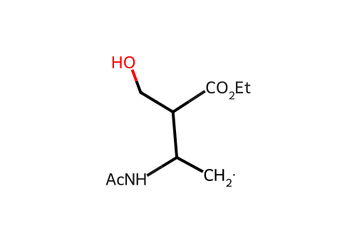 [CH2]C(NC(C)=O)C(CO)C(=O)OCC